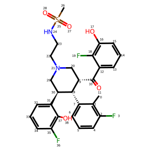 Cc1c(F)cccc1[C@H]1[C@@H](C(=O)c2cccc(O)c2F)CN(CCNS(C)(=O)=O)C[C@@H]1c1cc[c]c(F)c1O